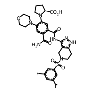 NC(=O)c1cc(N2CCOCC2)c(N2CCC[C@H]2C(=O)O)cc1C(=O)Nc1n[nH]c2c1CN(S(=O)(=O)c1cc(F)cc(F)c1)CC2